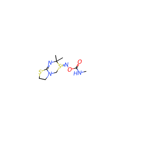 CNC(=O)ON=S1CN2CCSC2=NC1(C)C